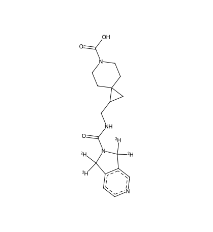 [2H]C1([2H])c2ccncc2C([2H])([2H])N1C(=O)NCC1CC12CCN(C(=O)O)CC2